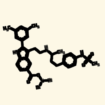 CCN(CC)OC(=O)c1ccc2[nH]c(-c3cc(C)cc(C)c3)c(CCNC(C)CCc3ccc(NS(C)(=O)=O)cc3)c2c1